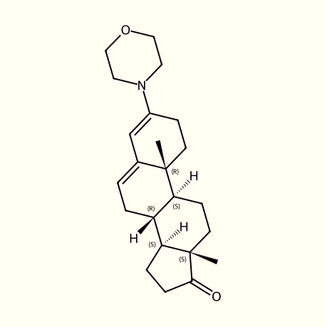 C[C@]12CCC(N3CCOCC3)=CC1=CC[C@@H]1[C@@H]2CC[C@]2(C)C(=O)CC[C@@H]12